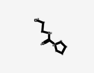 O=C(OCCCl)N1CCCC1